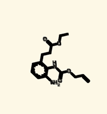 C=CCOC(=O)Nc1c(N)cccc1CCC(=O)OCC